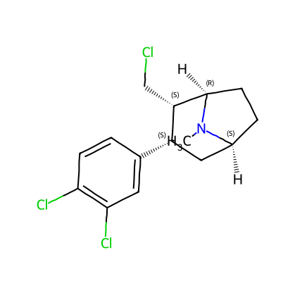 CN1[C@H]2CC[C@@H]1[C@@H](CCl)[C@@H](c1ccc(Cl)c(Cl)c1)C2